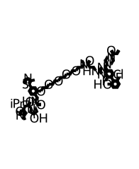 C=CC(=O)N1CCN(c2nc(NCCC(=O)N(C)CCOCCOCCOCCOCCOc3cc(-c4scnc4C)ccc3CNC(=O)[C@@H]3C[C@@H](O)CN3C(=O)[C@H](c3cc(C)no3)C(C)C)nc3c(F)c(-c4c(O)cccc4F)c(Cl)cc23)CC1